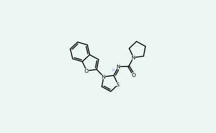 O=C(/N=c1\sccn1-c1cc2ccccc2o1)N1CCCC1